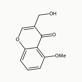 COc1cccc2occ(CO)c(=O)c12